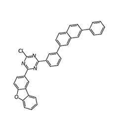 Clc1nc(-c2cccc(-c3ccc4ccc(-c5ccccc5)cc4c3)c2)nc(-c2ccc3oc4ccccc4c3c2)n1